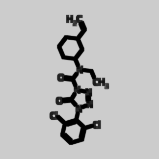 C=CC1CCCC(N(CC)C(=O)n2nnn(-c3c(Cl)cccc3Cl)c2=O)C1